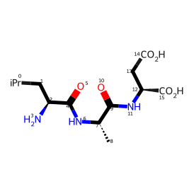 CC(C)C[C@H](N)C(=O)N[C@@H](C)C(=O)N[C@@H](CC(=O)O)C(=O)O